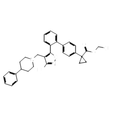 CCOC(=O)C1(c2ccc(-c3ccccc3-c3onc(C)c3CN3CCC(c4ccccc4)CC3)cc2)CC1